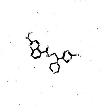 CCCNc1ccc2c(C(=O)NCC(c3cnc(C(F)(F)F)nc3)N3CCOCC3)cccc2n1